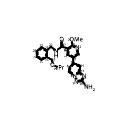 COc1ncc(-c2ccn3nc(N)nc3c2)cc1C(=O)NCc1ccccc1COC(C)C